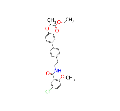 CCOC(=O)C(C)Oc1ccc(-c2ccc(CCNC(=O)c3cc(Cl)ccc3OC)cc2)cc1